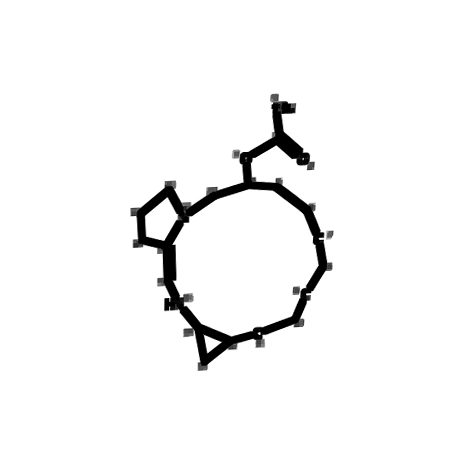 CC(C)(C)C(=O)OC1CCCCCCCC2CC2NC=C2CCCN2C1